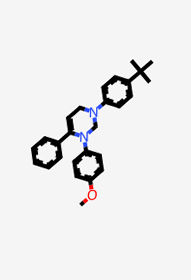 COc1ccc(N2CN(c3ccc(C(C)(C)C)cc3)CC=C2c2ccccc2)cc1